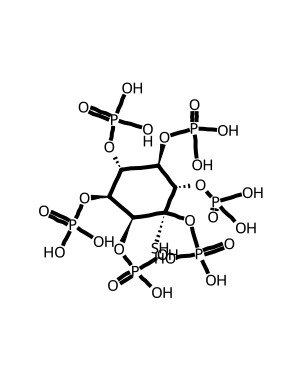 O=P(O)(O)O[C@@H]1[C@@H](OP(=O)(O)O)[C@H](OP(=O)(O)O)[C@@](S)(OP(=O)(O)O)[C@@H](OP(=O)(O)O)[C@H]1OP(=O)(O)O